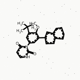 COc1c(-c2ccc3ccccc3c2)cc(-n2c(=O)cc[nH]c2=O)cc1C(C)(C)C